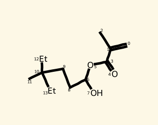 C=C(C)C(=O)OC(O)CCC(C)(CC)CC